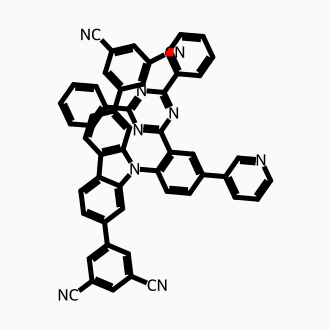 N#Cc1cc(C#N)cc(-c2ccc3c4ccc(-c5cc(C#N)cc(C#N)c5)cc4n(-c4ccc(-c5cccnc5)cc4-c4nc(-c5ccccc5)nc(-c5ccccc5)n4)c3c2)c1